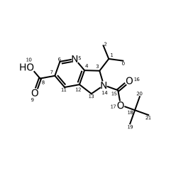 CC(C)C1c2ncc(C(=O)O)cc2CN1C(=O)OC(C)(C)C